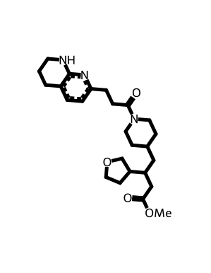 COC(=O)CC(CC1CCN(C(=O)CCc2ccc3c(n2)NCCC3)CC1)C1CCOC1